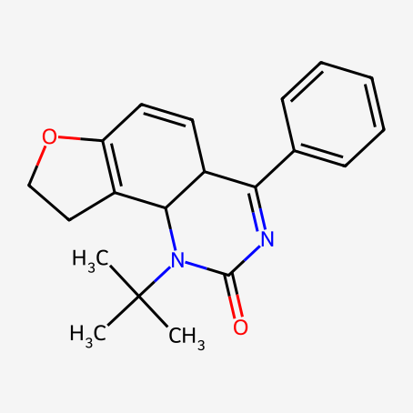 CC(C)(C)N1C(=O)N=C(c2ccccc2)C2C=CC3=C(CCO3)C21